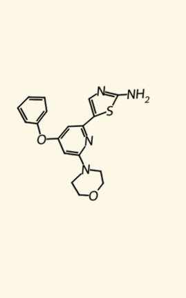 Nc1ncc(-c2cc(Oc3ccccc3)cc(N3CCOCC3)n2)s1